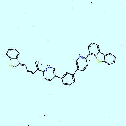 C=C(/C=C\C=C1/CSc2ccccc21)c1ccc(-c2cccc(-c3ccc(-c4cccc5c4sc4ccccc45)nc3)c2)cn1